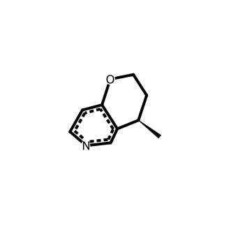 C[C@@H]1CCOc2ccncc21